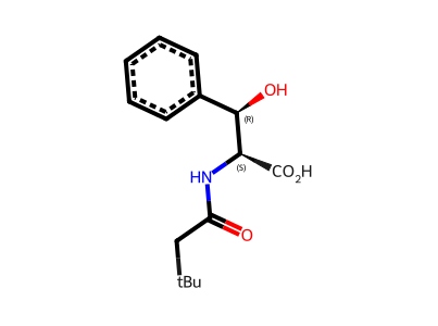 CC(C)(C)CC(=O)N[C@H](C(=O)O)[C@H](O)c1ccccc1